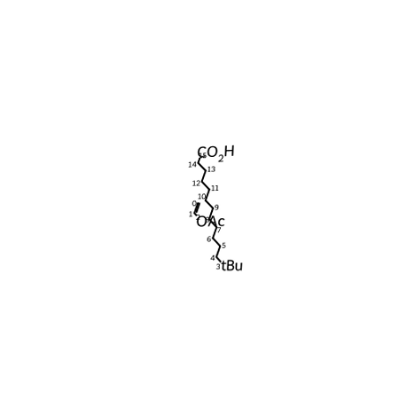 C=COC(C)=O.CC(C)(C)CCCCCCCCCCCC(=O)O